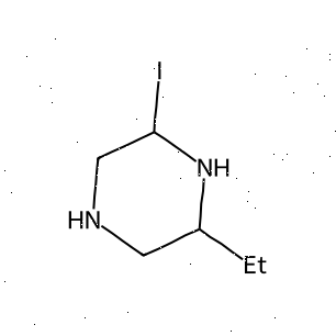 CCC1CNCC(I)N1